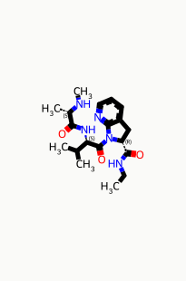 CCNC(=O)[C@H]1Cc2cccnc2N1C(=O)[C@@H](NC(=O)[C@H](C)NC)C(C)C